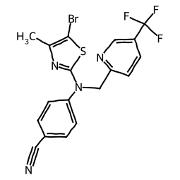 Cc1nc(N(Cc2ccc(C(F)(F)F)cn2)c2ccc(C#N)cc2)sc1Br